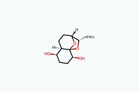 CCCCCC[C@@H]1O[C@]23O[C@@H]1CC[C@@H]2[C@H](O)CC[C@@H]3O